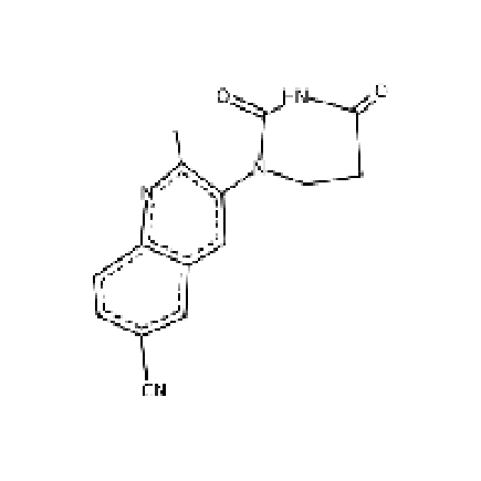 Cc1nc2ccc(C#N)cc2cc1N1CCC(=O)NC1=O